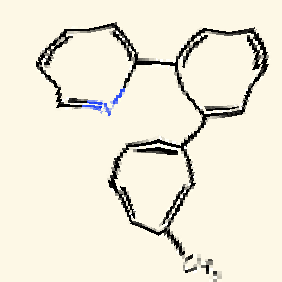 Cc1cccc(-c2ccccc2-c2ccccn2)c1